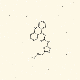 COCc1nnc(NC(=O)OC2c3ccccc3Oc3ccccc32)o1